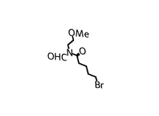 COCCN(C=O)C(=O)CCCCBr